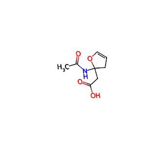 CC(=O)NC1(CC(=O)O)CC=CO1